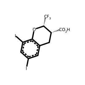 O=C(O)[C@@H]1Cc2cc(I)cc(I)c2O[C@@H]1C(F)(F)F